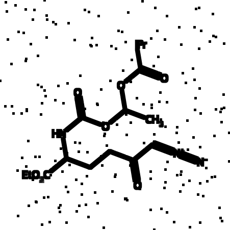 CCOC(=O)C(CCC(=O)C=[N+]=[N-])NC(=O)OC(C)OC(=O)C(C)C